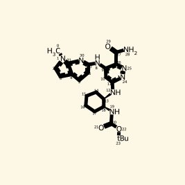 Cn1ccc2ccc(Nc3cc(N[C@@H]4CCCC[C@@H]4NC(=O)OC(C)(C)C)nnc3C(N)=O)nc21